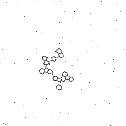 c1ccc(-n2c3ccc(-c4ccc5c(c4)c4ccccc4n5-c4nc(-c5ccc(-c6cccc7ccccc67)cc5)c5ccccc5n4)cc3c3c4cccc5c4c(cc32)-c2ccccc2-5)cc1